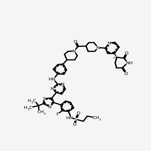 CCCS(=O)(=O)Nc1cccc(-c2nc(C(C)(C)C)sc2-c2ccnc(Nc3ccc(C4CCN(C(=O)C5CCN(c6cc([C@@H]7CCC(=O)NC7=O)ccn6)CC5)CC4)cc3)n2)c1F